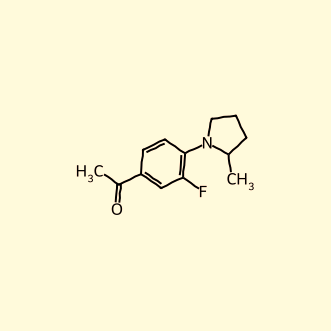 CC(=O)c1ccc(N2CCCC2C)c(F)c1